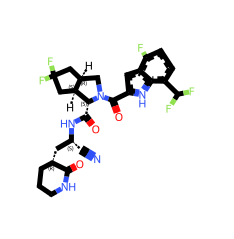 N#C[C@H](C[C@H]1CCCNC1=O)NC(=O)[C@@H]1[C@H]2CC(F)(F)C[C@H]2CN1C(=O)c1cc2c(F)ccc(C(F)F)c2[nH]1